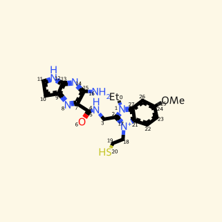 CCn1c(CNC(=O)c2nc3cc[nH]c3nc2N)[n+](CCS)c2ccc(OC)cc21